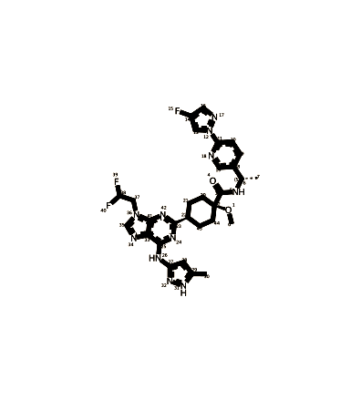 CO[C@]1(C(=O)N[C@@H](C)c2ccc(-n3cc(F)cn3)nc2)CC[C@H](c2nc(Nc3cc(C)[nH]n3)c3ncn(CC(F)F)c3n2)CC1